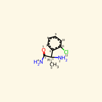 C[C@](N)(C(N)=O)c1ccccc1Cl